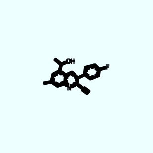 C#Cc1nc2cc(C)cc(C(C)O)c2cc1-c1ccc(F)cc1